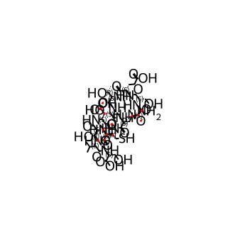 CC(C)[C@H](NC(=O)[C@H](C)NC(=O)[C@H](CC(=O)O)NC(=O)[C@@H](NC(=O)[C@H](CS)NC(=O)[C@H](CCC(N)=O)NC(=O)[C@H](CO)NC(=O)[C@@H](NC(=O)[C@H](CCC(=O)O)NC(=O)[C@H](CO)NC(=O)[C@H](C)N)[C@@H](C)O)[C@@H](C)O)C(=O)N[C@@H](CO)C(=O)O